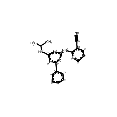 CC(C)Nc1nc(Nc2ncccc2C#N)nc(-c2ccccc2)n1